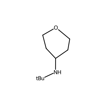 CC(C)(C)NC1CCOCC1